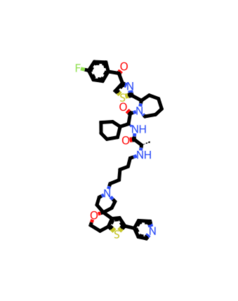 C[C@H](NCCCCCN1CCC2(CC1)OCCc1sc(-c3ccncc3)cc12)C(=O)N[C@H](C(=O)N1CCCCCC1c1nc(C(=O)c2ccc(F)cc2)cs1)C1CCCCC1